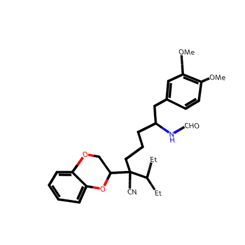 CCC(CC)C(C#N)(CCCC(Cc1ccc(OC)c(OC)c1)NC=O)C1COc2ccccc2O1